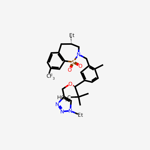 CC[C@H]1Cc2ccc(C(F)(F)F)cc2S(=O)(=O)N(Cc2cc([C@@H](OCc3cn(CC)nn3)C(C)(C)C(=O)O)ccc2C)C1